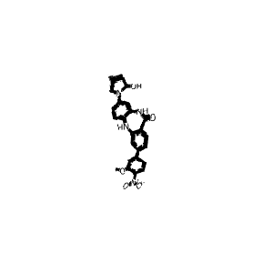 COc1cc(-c2ccc3c(c2)Nc2ccc(N4CCCC4O)cc2NC3=O)ccc1[N+](=O)[O-]